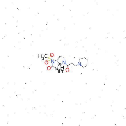 CC(C)[C@H]1C(=O)N(S(C)(=O)=O)C2=CCN(C(=O)CCN3CCCCC3)[C@@H]21